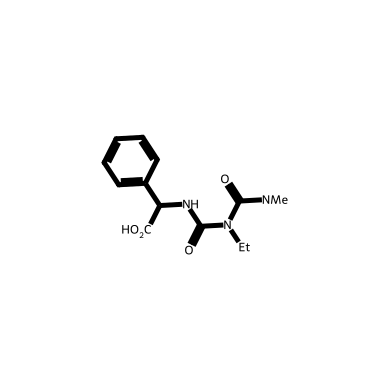 CCN(C(=O)NC)C(=O)NC(C(=O)O)c1ccccc1